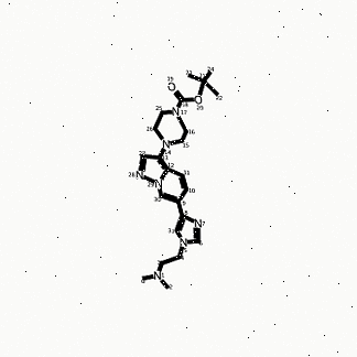 CN(C)CCn1cnc(-c2ccc3c(N4CCN(C(=O)OC(C)(C)C)CC4)cnn3c2)c1